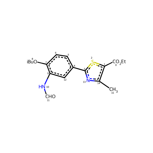 CCOC(=O)c1sc(-c2ccc(OCC(C)C)c(NC=O)c2)nc1C